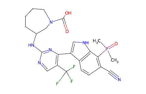 CP(C)(=O)c1c(C#N)ccc2c(-c3nc(NC4CCCCN(C(=O)O)C4)ncc3C(F)(F)F)c[nH]c12